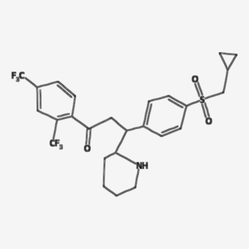 O=C(CC(c1ccc(S(=O)(=O)CC2CC2)cc1)C1CCCCN1)c1ccc(C(F)(F)F)cc1C(F)(F)F